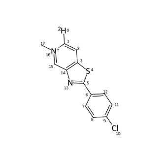 [2H]c1cc2sc(-c3ccc(Cl)cc3)nc2c[n+]1C